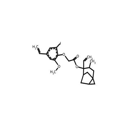 C=Cc1cc(I)c(OCC(=O)OC2(C=C)C(C)CC34CC3CC2C4)c(OC)c1